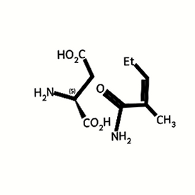 CCC=C(C)C(N)=O.N[C@@H](CC(=O)O)C(=O)O